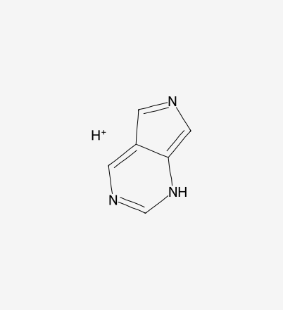 [H+].c1ncc2cncc-2[nH]1